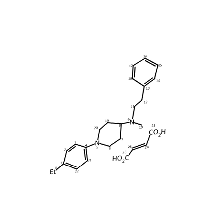 CCc1ccc(N2CCC(N(C)CCc3ccccc3)CC2)cc1.O=C(O)/C=C/C(=O)O